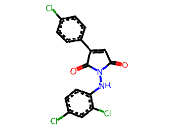 O=C1C=C(c2ccc(Cl)cc2)C(=O)N1Nc1ccc(Cl)cc1Cl